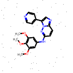 COc1cc(Nc2ccc3ncc(-c4ccncc4)n3n2)cc(OC)c1OC